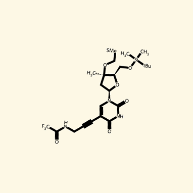 CSCO[C@]1(C)C[C@H](n2cc(C#CCNC(=O)C(F)(F)F)c(=O)[nH]c2=O)O[C@@H]1CO[Si](C)(C)C(C)(C)C